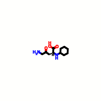 NCC(=O)C[C@@H](NC1CCCCC1)C(=O)O